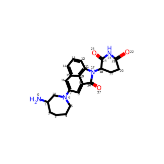 NC1CCCCN(c2cc3c4c(cccc4c2)N(C2CCC(=O)NC2=O)C3=O)C1